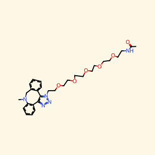 CC(=O)NCCOCCOCCOCCOCCOCCn1nnc2c1-c1ccccc1CN(C)c1ccccc1-2